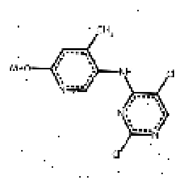 COc1cc(C)c(Nc2nc(Cl)ncc2Cl)cn1